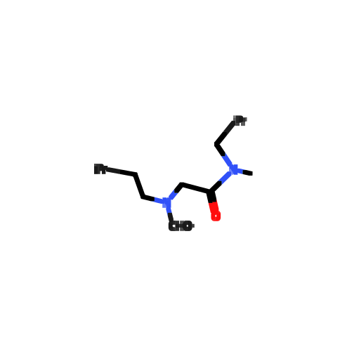 CC(C)CCN([C]=O)CC(=O)N(C)CC(C)C